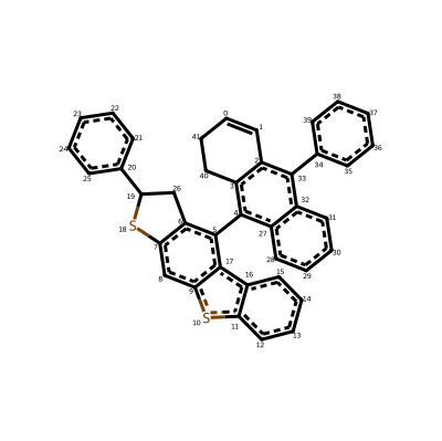 C1=Cc2c(c(-c3c4c(cc5sc6ccccc6c35)SC(c3ccccc3)C4)c3ccccc3c2-c2ccccc2)CC1